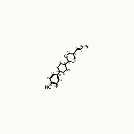 CCC/C=C/C1COC(C2CCC(c3ccc(C#N)c(F)c3)CC2)OC1